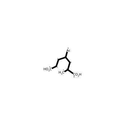 CC(=O)C(CCC(=O)O)CC(C)C(=O)O